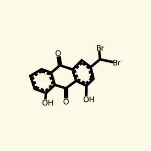 O=C1c2cccc(O)c2C(=O)c2c(O)cc(C(Br)Br)cc21